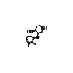 Cc1cccc(OC2CNCCC2O)c1C